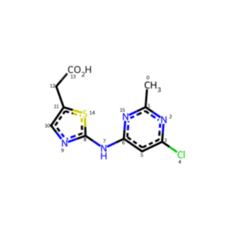 Cc1nc(Cl)cc(Nc2ncc(CC(=O)O)s2)n1